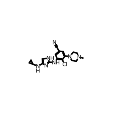 CN1CCN(c2cc(C#N)cc(Nc3nc(NC4CC4)c[nH]3)c2Cl)CC1